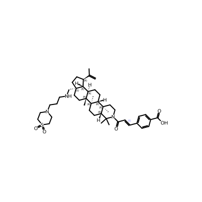 C=C(C)[C@@H]1CC[C@]2(CNCCCN3CCS(=O)(=O)CC3)CC[C@]3(C)[C@H](CC[C@@H]4[C@@]5(C)CCN(C(=O)/C=C/c6ccc(C(=O)O)cc6)C(C)(C)[C@@H]5CC[C@]43C)[C@@H]12